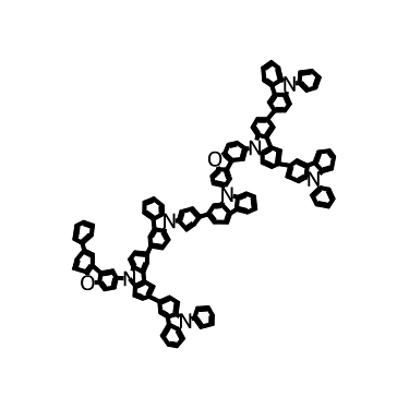 c1ccc(-c2ccc3oc4ccc(-n5c6ccc(-c7ccc8c(c7)c7ccccc7n8-c7ccccc7)cc6c6cc(-c7ccc8c(c7)c7ccccc7n8-c7ccc(-c8ccc9c%10ccccc%10n(-c%10ccc%11oc%12ccc(-n%13c%14ccc(-c%15ccc%16c(c%15)c%15ccccc%15n%16-c%15ccccc%15)cc%14c%14cc(-c%15ccc%16c(c%15)c%15ccccc%15n%16-c%15ccccc%15)ccc%14%13)cc%12c%11c%10)c9c8)cc7)ccc65)cc4c3c2)cc1